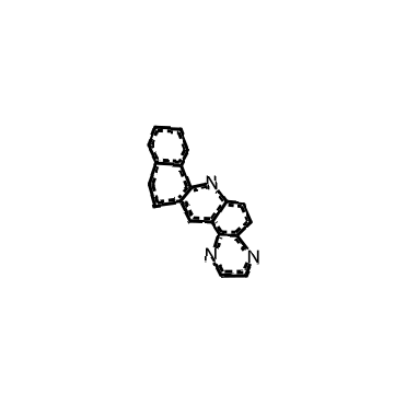 c1ccc2c(c1)ccc1cc3c(ccc4nccnc43)nc12